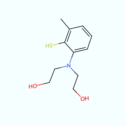 Cc1cccc(N(CCO)CCO)c1S